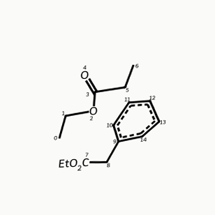 CCOC(=O)CC.CCOC(=O)Cc1ccccc1